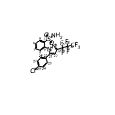 NS(=O)(=O)c1ccccc1-n1nc(C(F)(F)C(F)(F)C(F)(F)F)cc1-c1ccc(Cl)cc1